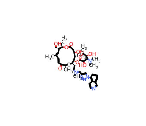 CC[C@H]1OC(=O)C[C@@H](O)[C@H](C)[C@@H](O[C@@H]2O[C@H](C)[C@@H](O)C(N(C)C)C2O)[C@@H](CCN(C)Cc2cn(-c3cccc4cnccc34)nn2)C[C@@H](C)C(=O)/C=C/C(C)=C/[C@@H]1CO